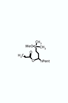 C=CC(=O)OC(CCCCC)CC[Si](C)(C)OC